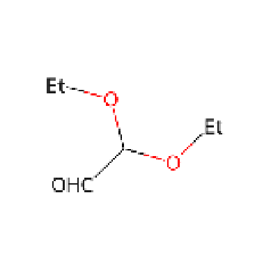 CCOC(C=O)OCC